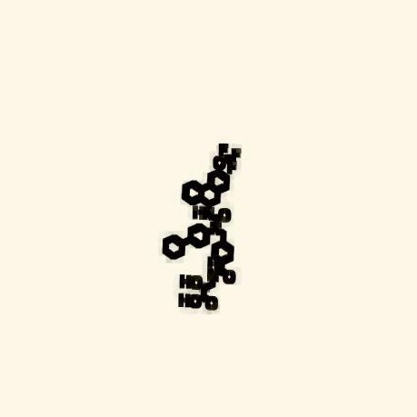 O=C(NC[C@@H](O)C(=O)O)c1ccc(CN(C(=O)NC2Cc3ccc(OC(F)(F)F)cc3-c3ccccc32)c2ccc(C3=CCCCC3)cc2)cc1